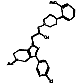 COc1ccccc1C1CCN(CC(O)Cn2nc(-c3ccc(Cl)cc3)c3c2CCN(C(C)=O)C3)CC1